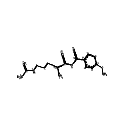 N=C(N)NCCC[C@H](N)C(=O)OC(=O)c1ccc(CN)cc1